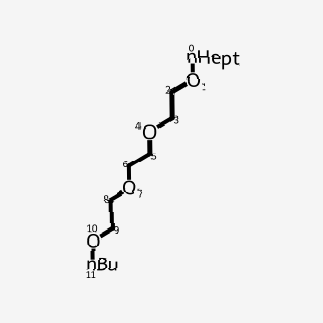 CCCCCCCOCCOCCOCCOCCCC